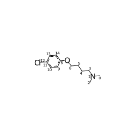 CN(C)CCCCOc1ccc(Cl)cc1